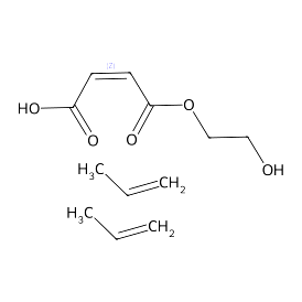 C=CC.C=CC.O=C(O)/C=C\C(=O)OCCO